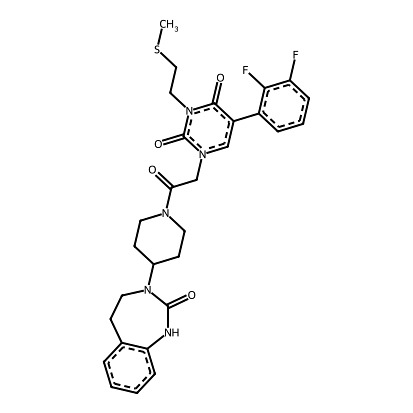 CSCCn1c(=O)c(-c2cccc(F)c2F)cn(CC(=O)N2CCC(N3CCc4ccccc4NC3=O)CC2)c1=O